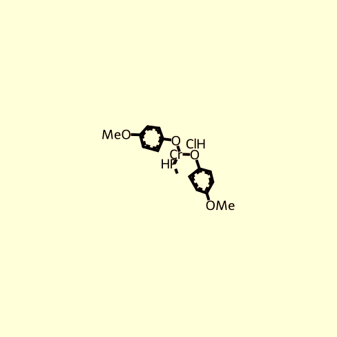 COc1ccc([O][Cr]([O]c2ccc(OC)cc2)[PH]C)cc1.Cl